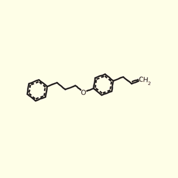 C=CCc1ccc(OCCCc2ccccc2)cc1